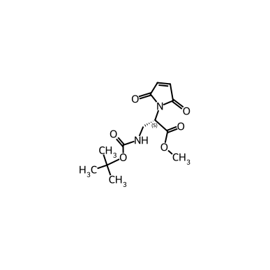 COC(=O)[C@H](CNC(=O)OC(C)(C)C)N1C(=O)C=CC1=O